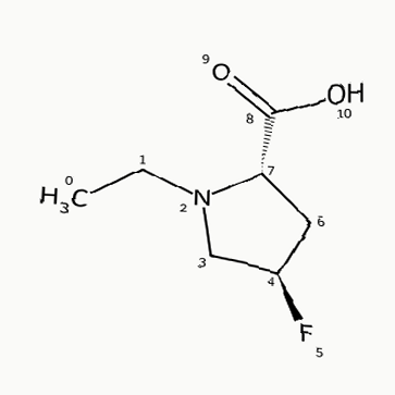 CCN1C[C@H](F)C[C@H]1C(=O)O